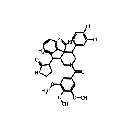 CCC(C1CCNC1=O)C1CN(C(=O)c2cc(OC)c(OC)c(OC)c2)CC(c2ccc(Cl)c(Cl)c2)C1(C(N)=O)c1ccccc1